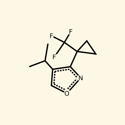 CC(C)c1conc1C1(C(F)(F)F)CC1